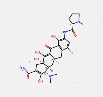 CN(C)[C@@H]1C(O)=C(C(N)=O)C[C@@]2(O)C(O)=C3C(=O)c4c(O)c(NC(=O)[C@@H]5CCCN5C)cc(F)c4C[C@@]3(C)C[C@@H]12